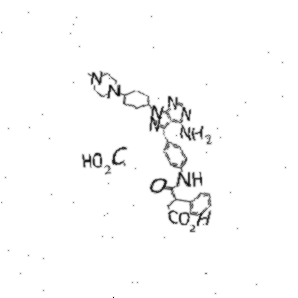 CC(=O)O.CN1CCN(C2CCC(n3nc(-c4ccc(NC(=O)C(CC(=O)O)c5ccccc5)cc4)c4c(N)ncnc43)CC2)CC1